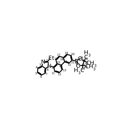 CCc1nc2ccccc2n1-c1cccc2c1ccc1ccc(B3OC(C)(C)C(C)(C)O3)cc12